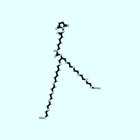 CCCCCCOCCOCCOCCOCCOCC(COCCCCCCOCCOCCOCCOCCOC)OC(=O)NCCCCCC(=O)ON1C(=O)CCC1=O